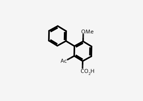 COc1ccc(C(=O)O)c(C(C)=O)c1-c1ccccc1